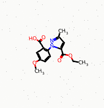 CCOC(=O)c1cc(C)nn1-c1ccc(OC)cc1C(=O)O